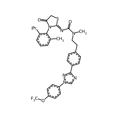 Cc1cccc(C(C)C)c1N1C(=O)CSC1=NC(=O)N(C)CCc1ccc(-c2ncn(-c3ccc(OC(F)(F)F)cc3)n2)cc1